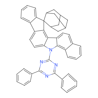 c1ccc(-c2nc(-c3ccccc3)nc(-n3c4ccc5c(c4c4ccc6ccccc6c43)C3(c4ccccc4-5)C4CC5CC(C4)CC3C5)n2)cc1